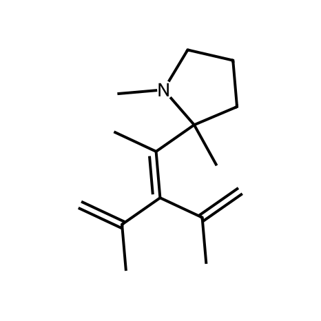 C=C(C)C(C(=C)C)=C(C)C1(C)CCCN1C